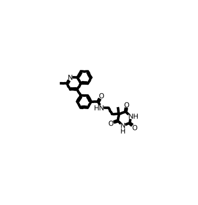 Cc1cc(-c2cccc(C(=O)NCCC3(C)C(=O)NC(=O)NC3=O)c2)c2ccccc2n1